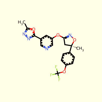 Cc1nnc(-c2cncc(OC3=NO[C@@](C)(c4ccc(OC(F)(F)F)cc4)C3)c2)o1